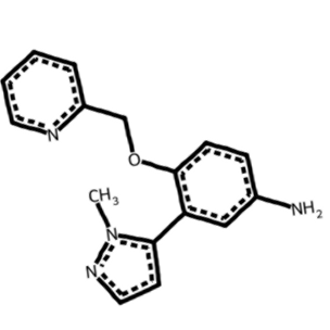 Cn1nccc1-c1cc(N)ccc1OCc1ccccn1